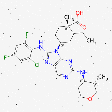 CCC1C[C@@H](n2c(Nc3c(F)cc(F)cc3Cl)nc3cnc(N[C@@H]4CCOC[C@H]4C)nc32)CC[C@]1(C)C(=O)O